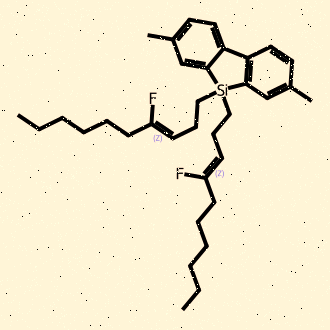 CCCCCC/C(F)=C/CC[Si]1(CC/C=C(\F)CCCCCC)c2cc(C)ccc2-c2ccc(C)cc21